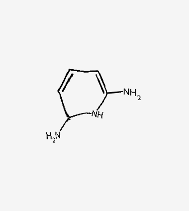 N[C]1C=CC=C(N)N1